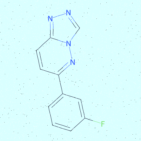 Fc1cccc(-c2ccc3nncn3n2)c1